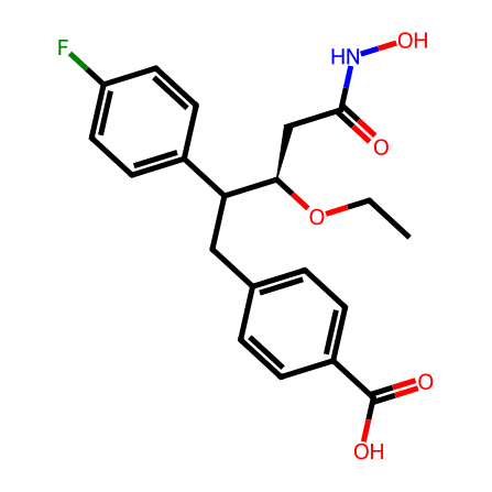 CCO[C@H](CC(=O)NO)C(Cc1ccc(C(=O)O)cc1)c1ccc(F)cc1